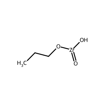 CCC[O][Zr](=[O])[OH]